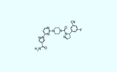 N#Cc1cc(F)cc(C2CC=NN2C(=O)N2CCN(c3nccc(-n4cc(C(N)=O)cn4)n3)CC2)c1